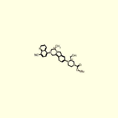 C[C@@H]1CN(c2ccc(C#N)c3ncccc23)CC2=C3CC=C(N4CCN(C(=O)OC(C)(C)C)C[C@@H]4CO)C=C3CN21